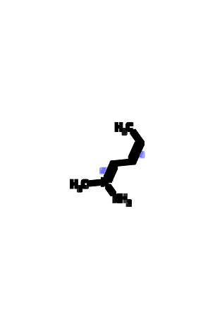 C/C=C\C=[N+](\C)N